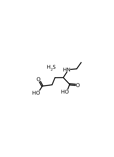 CCNC(CCC(=O)O)C(=O)O.S